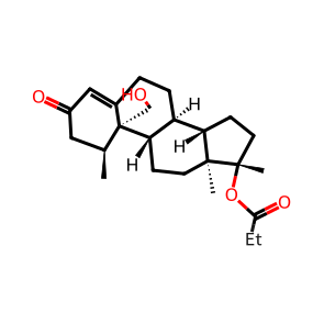 CCC(=O)O[C@@]1(C)CC[C@H]2[C@@H]3CCC4=CC(=O)C[C@H](C)[C@]4(CO)[C@H]3CC[C@@]21C